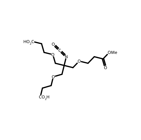 COC(=O)CCOCC(COCCC(=O)O)(COCCC(=O)O)N=C=O